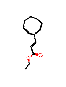 CCOC(=O)C=CC1CCCCCCC1